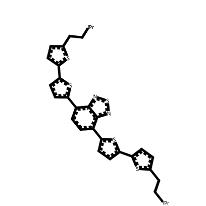 CC(C)CCc1ccc(-c2ccc(-c3ccc(-c4ccc(-c5ccc(CCC(C)C)s5)s4)c4nsnc34)s2)s1